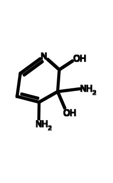 NC1=CC=NC(O)C1(N)O